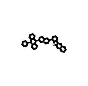 c1ccc(-c2c3ccccc3c(-c3ccc4cc(-c5cccc6c5oc5cc7ccccc7cc56)ccc4c3)c3ccccc23)cc1